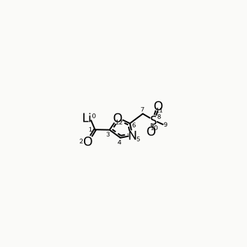 [Li][C](=O)c1cnc(CS(C)(=O)=O)o1